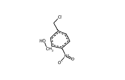 CO.O=[N+]([O-])c1ccc(CCl)cc1